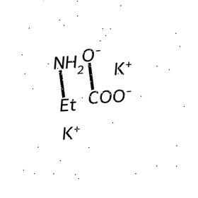 CCN.O=C([O-])[O-].[K+].[K+]